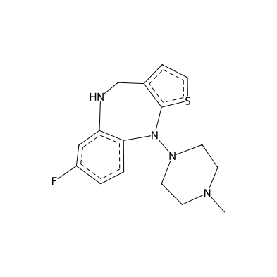 CN1CCN(N2c3ccc(F)cc3NCc3ccsc32)CC1